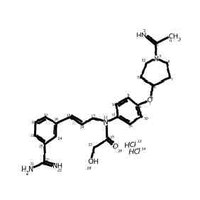 CC(=N)N1CCC(Oc2ccc(N(C/C=C/c3cccc(C(=N)N)c3)C(=O)CO)cc2)CC1.Cl.Cl